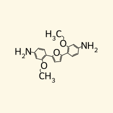 CCOc1cc(N)ccc1-c1ccc(-c2ccc(N)cc2OCC)o1